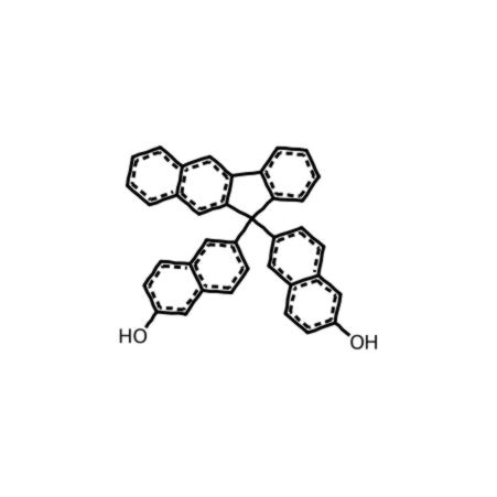 Oc1ccc2cc(C3(c4ccc5cc(O)ccc5c4)c4ccccc4-c4cc5ccccc5cc43)ccc2c1